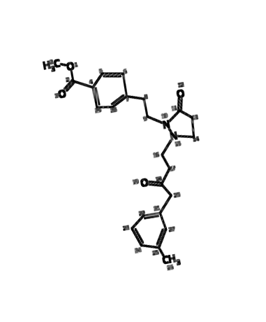 COC(=O)c1ccc(CCN2C(=O)CCN2CCC(=O)Cc2cccc(C)c2)cc1